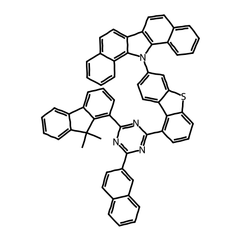 CC1(C)c2ccccc2-c2cccc(-c3nc(-c4ccc5ccccc5c4)nc(-c4cccc5sc6cc(-n7c8c9ccccc9ccc8c8ccc9ccccc9c87)ccc6c45)n3)c21